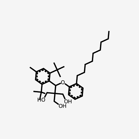 CCCCCCCCCc1ccccc1OC(c1c(C(C)(C)C)cc(C)cc1C(C)(C)C)C(CO)(CO)CO